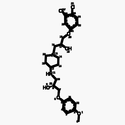 COc1ccc(OC[C@H](O)CNC2CCN(CC(O)COc3ccc(Cl)c(Cl)c3)CC2)cc1